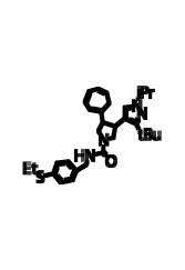 CCSc1ccc(CNC(=O)N2CC(C3=CC=CC=CC3)C(c3cn(C(C)C)nc3C(C)(C)C)C2)cc1